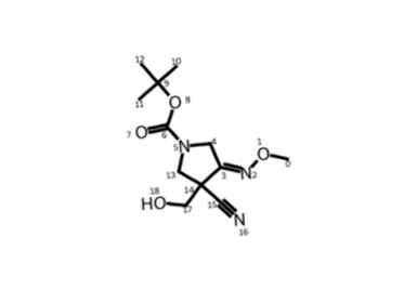 CO/N=C1\CN(C(=O)OC(C)(C)C)CC1(C#N)CO